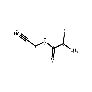 C#CCNC(=O)C(C)I